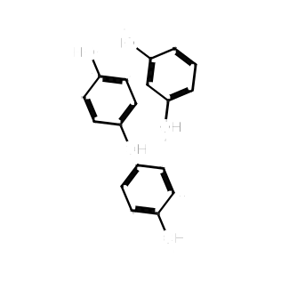 Oc1ccc(O)cc1.Oc1cccc(O)c1.Oc1ccccc1